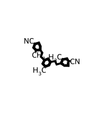 Cc1cc(CCc2ccc(C#N)cc2C)cc(CCc2ccc(C#N)cc2C)c1